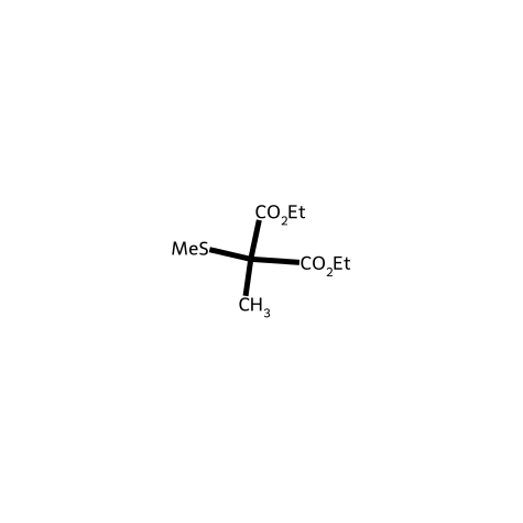 CCOC(=O)C(C)(SC)C(=O)OCC